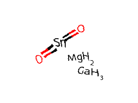 [GaH3].[MgH2].[O]=[Sn]=[O]